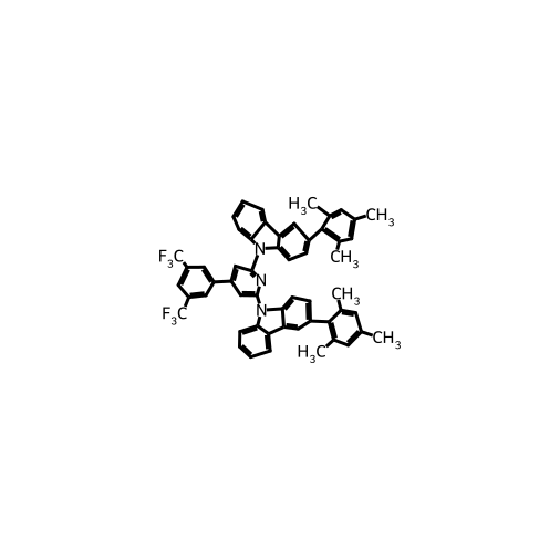 Cc1cc(C)c(-c2ccc3c(c2)c2ccccc2n3-c2cc(-c3cc(C(F)(F)F)cc(C(F)(F)F)c3)cc(-n3c4ccccc4c4cc(-c5c(C)cc(C)cc5C)ccc43)n2)c(C)c1